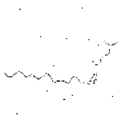 CCCCCCCCCCCC[C@H]1O[C@H]1CCCCC(C)C